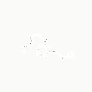 Nc1ncnc2c1cnn2CCS